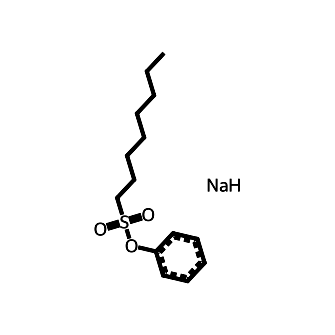 CCCCCCCCS(=O)(=O)Oc1ccccc1.[NaH]